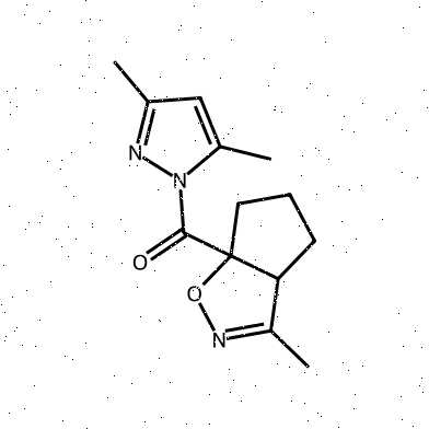 CC1=NOC2(C(=O)n3nc(C)cc3C)CCCC12